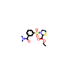 CCOC(=O)C1SCCN1S(=O)(=O)c1cccc(C(=O)N(C)C)c1